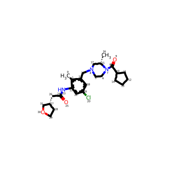 Cc1c(CN2CCN(C(=O)C3CCCC3)[C@@H](C)C2)cc(Cl)cc1NC(=O)C[C@@H]1CCOC1